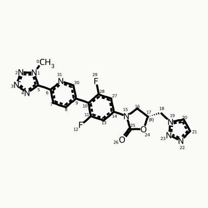 Cn1nnnc1-c1ccc(-c2c(F)cc(N3C[C@H](Cn4ccnn4)OC3=O)cc2F)cn1